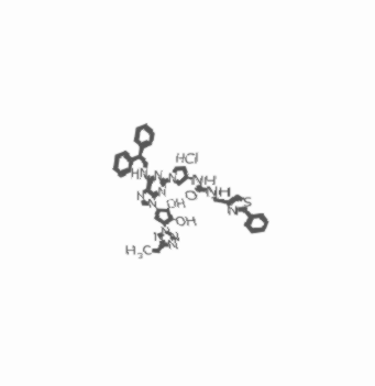 CCc1nnn([C@H]2C[C@@H](n3cnc4c(NCC(c5ccccc5)c5ccccc5)nc(N5CC[C@@H](NC(=O)NCc6csc(-c7ccccc7)n6)C5)nc43)[C@H](O)[C@@H]2O)n1.Cl